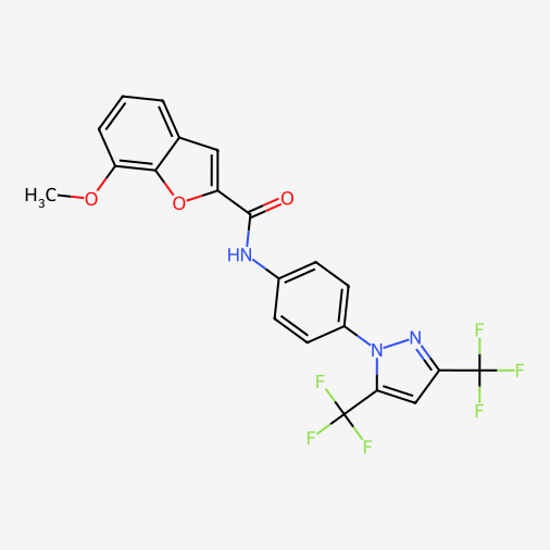 COc1cccc2cc(C(=O)Nc3ccc(-n4nc(C(F)(F)F)cc4C(F)(F)F)cc3)oc12